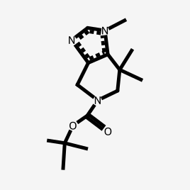 Cn1cnc2c1C(C)(C)CN(C(=O)OC(C)(C)C)C2